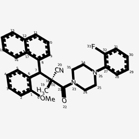 COc1ccccc1C(c1cccc2ccccc12)[C@@](C)(C#N)C(=O)N1CCN(c2ccccc2F)CC1